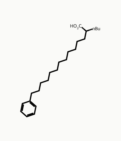 CCCCC(CCCCCCCCCCCCc1ccccc1)C(=O)O